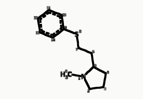 CN1CCCC1CCSc1ccccc1